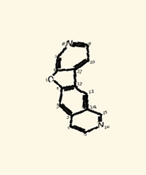 c1cc2cc3oc4cnccc4c3cc2cn1